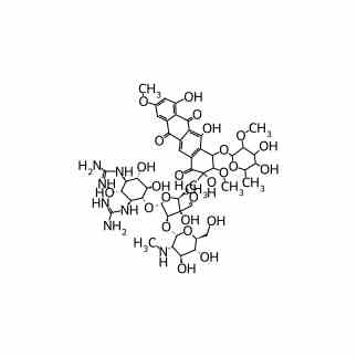 CN[C@@H]1[C@H](O[C@H]2[C@H](O[C@H]3[C@H](O)[C@@H](O)[C@H](NC(=N)N)[C@@H](O)[C@@H]3NC(=N)N)O[C@@H](C)[C@]2(O)C=O)O[C@@H](CO)[C@H](O)[C@H]1O.COc1cc(O)c2c(c1)C(=O)c1cc3c(c(O)c1C2=O)C(OC1OC(C)C(O)C(O)C1OC)C(OC)C(C)(O)C3=O